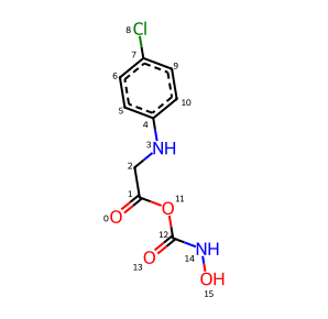 O=C(CNc1ccc(Cl)cc1)OC(=O)NO